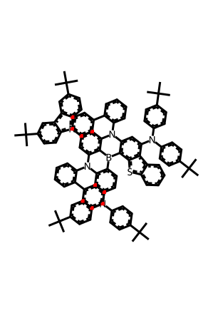 CC(C)(C)c1ccc(N(c2ccc(C(C)(C)C)cc2)c2ccc3c(c2)N(c2ccccc2-c2ccccc2)c2cc(-n4c5ccc(C(C)(C)C)cc5c5cc(C(C)(C)C)ccc54)cc4c2B3c2c(cc(N(c3ccc(C(C)(C)C)cc3)c3ccc(C(C)(C)C)cc3)c3c2sc2ccccc23)N4c2ccccc2-c2ccccc2)cc1